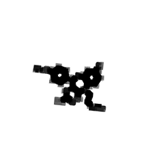 CCC(=O)O[C@@H]1C(=O)N(CCNC)c2ccc(Cl)cc2S[C@@H]1c1ccc(OC)cc1